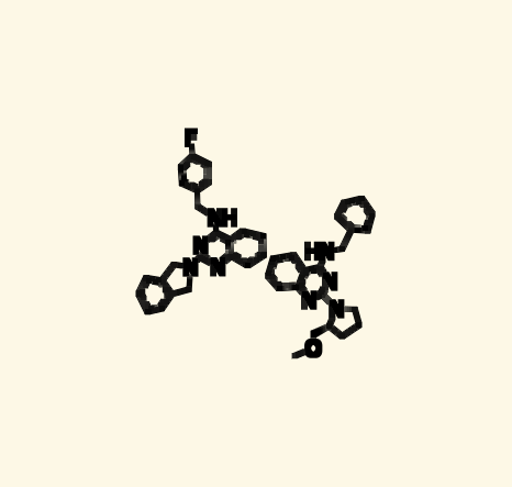 COC[C@@H]1CCCN1c1nc(NCc2ccccc2)c2ccccc2n1.Fc1ccc(CNc2nc(N3Cc4ccccc4C3)nc3ccccc23)cc1